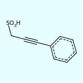 O=S(=O)(O)CC#Cc1ccccc1